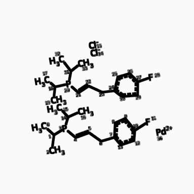 CC(C)P(C=CCc1ccc(F)cc1)C(C)C.CC(C)P(C=CCc1ccc(F)cc1)C(C)C.[Cl-].[Cl-].[Pd+2]